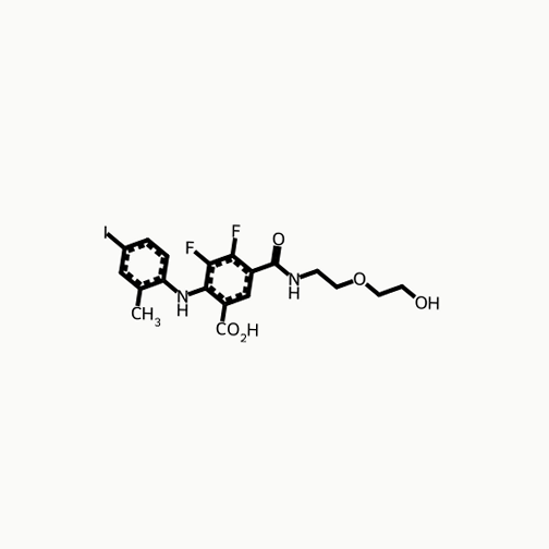 Cc1cc(I)ccc1Nc1c(C(=O)O)cc(C(=O)NCCOCCO)c(F)c1F